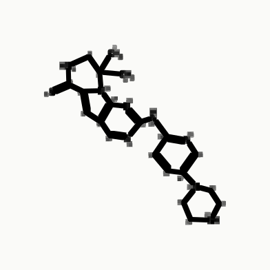 CC1(C)CNC(=S)c2cc3cnc(Nc4ccc(N5CCNCC5)cn4)nc3n21